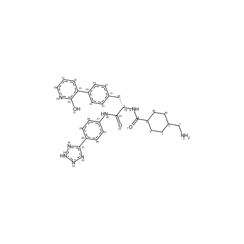 NCC1CCC(C(=O)N[C@@H](Cc2ccc(-c3cccnc3O)cc2)C(=O)Nc2ccc(-c3nn[nH]n3)cc2)CC1